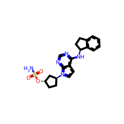 NS(=O)(=O)O[C@H]1CC[C@H](n2ccc3c(N[C@H]4CCc5ccccc54)ncnc32)C1